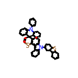 c1ccc(N2c3ccccc3C3(c4ccccc4Sc4c3ccc3c4c4ccccc4n3-c3ccc4sc5ccccc5c4c3)c3ccccc32)cc1